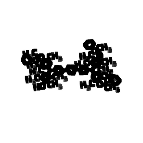 Cc1cc(C(c2ccc(-c3ccc(-c4ccc(C(c5cc(C)c(OC(C)OC6CCCCC6)c(C)c5C)c5cc(C)c(OC(C)OC6CCCCC6)c(C)c5C)cc4)cc3)cc2)c2cc(C)c(OC(C)OC3CCCCC3)c(C)c2C)c(C)c(C)c1O